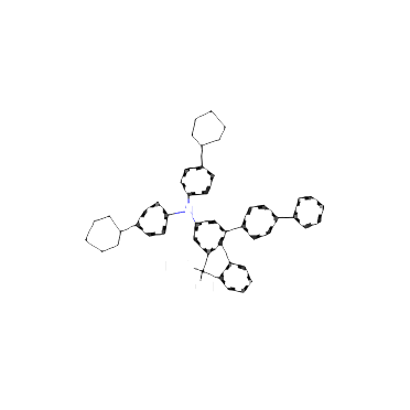 CC1(C)c2ccccc2-c2c(-c3ccc(-c4ccccc4)cc3)cc(N(c3ccc(C4CCCCC4)cc3)c3ccc(C4CCCCC4)cc3)cc21